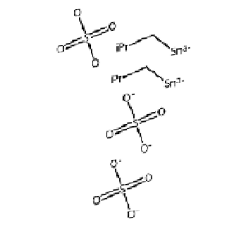 CC(C)[CH2][Sn+3].CC(C)[CH2][Sn+3].O=S(=O)([O-])[O-].O=S(=O)([O-])[O-].O=S(=O)([O-])[O-]